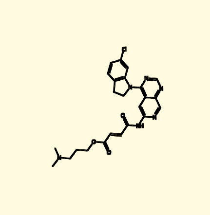 CN(C)CCCOC(=O)C=CC(=O)Nc1cc2c(N3CCc4ccc(Cl)cc43)ncnc2cn1